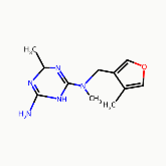 Cc1cocc1CN(C)C1=NC(C)N=C(N)N1